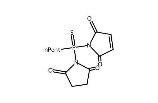 CCCCCP(=S)(N1C(=O)C=CC1=O)N1C(=O)CCC1=O